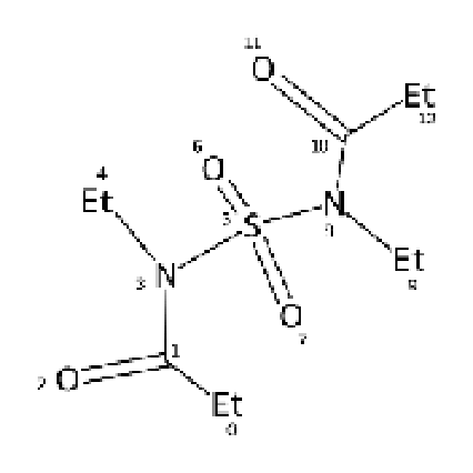 CCC(=O)N(CC)S(=O)(=O)N(CC)C(=O)CC